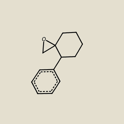 c1ccc(C2CCCCC23CO3)cc1